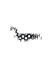 CC(C)CCC[C@@H](C)[C@H]1CCC2C3CCC4C[C@@](O)(CN)CC[C@]4(C)C3CC[C@@]21C